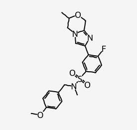 COc1ccc(CN(C)S(=O)(=O)c2ccc(F)c(-c3cn4c(n3)COC(C)C4)c2)cc1